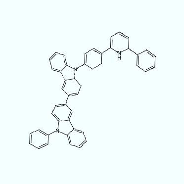 C1=CC(c2ccccc2)NC(C2=CC=C(N3c4ccccc4C4=CC(c5ccc6c(c5)c5ccccc5n6-c5ccccc5)=CCC43)CC2)=C1